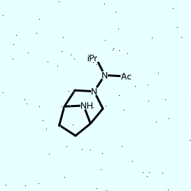 CC(=O)N(C(C)C)N1CC2CCC(C1)N2